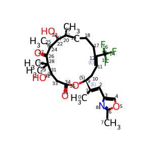 C/C(=C\c1coc(C)n1)[C@@H]1C/C=C(/C(F)(F)F)CCC[C@H](C)[C@H](O)[C@@H](C)C(=O)C(C)(C)[C@@H](O)CC(=O)O1